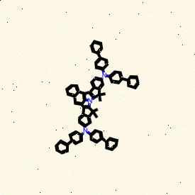 CC1(C)c2cc(N(c3ccc(-c4ccccc4)cc3)c3ccc(-c4ccccc4)cc3)ccc2-c2c1n1c3c(c4c5ccccc5cc2c41)-c1ccc(N(c2ccc(-c4ccccc4)cc2)c2ccc(-c4ccccc4)cc2)cc1C3(C)C